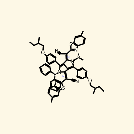 CCC(C)COc1ccc(-c2c3/c(=C(\C#N)c4nc5ccc(C)cc5s4)n(B(c4ccccc4)c4ccccc4)c(-c4ccc(OCC(C)CC)cc4)c3/c(=C(\C#N)c3nc4ccc(C)cc4s3)n2B(C)C)cc1